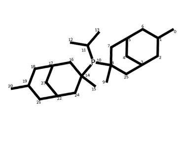 CC1CC2CC(C1)CC(C)(P(C(C)C)C1(C)CC3CC(C)CC(C3)C1)C2